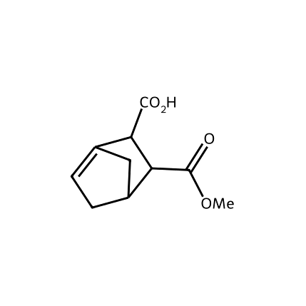 COC(=O)C1C2CC=C(C2)C1C(=O)O